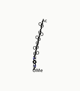 COCC/N=C/c1ccc(/C=N/CCOC(=O)CCC(=O)OCCOCCOC(=O)CCC(=O)OCCCCOC(=O)CCC(C)=O)cc1